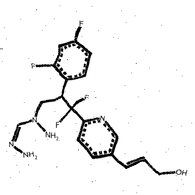 N/N=C\N(N)CC(c1ccc(F)cc1F)C(F)(F)c1ccc(/C=C/CO)cn1